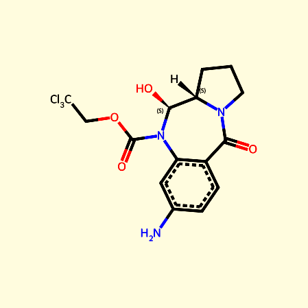 Nc1ccc2c(c1)N(C(=O)OCC(Cl)(Cl)Cl)[C@@H](O)[C@@H]1CCCN1C2=O